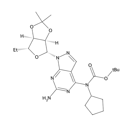 CC[C@H]1O[C@@H](n2ncc3c(N(C(=O)OC(C)(C)C)C4CCCC4)nc(N)nc32)[C@@H]2OC(C)(C)O[C@@H]21